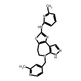 Cc1cc(CN2CCc3sc(Nc4cccc(C)n4)nc3-c3cn[nH]c32)ccn1